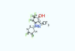 O[C@H]1c2c(C(F)(F)F)nn(C3CC[C@H](F)[C@H](F)C3)c2[C@@H](F)C1(F)F